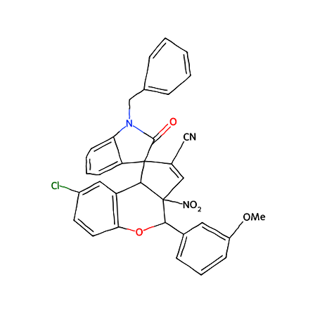 COc1cccc(C2Oc3ccc(Cl)cc3C3C4(C(=O)N(Cc5ccccc5)c5ccccc54)C(C#N)=CC23[N+](=O)[O-])c1